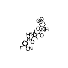 Cc1c(C(=O)C(=O)NC2(C)CCS(=O)(=O)CC2)c(C)n(C)c1C(=O)Nc1ccc(F)c(C#N)c1